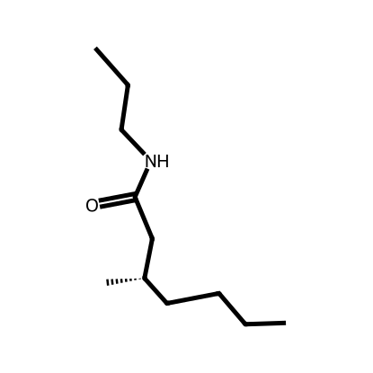 CCCC[C@H](C)CC(=O)NCCC